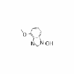 COc1cccc2c1ncn2O